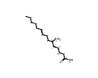 CCCCCCCCCC(N)CCCCC(=O)O